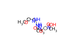 COc1cccc(-c2c[nH]c(CCNC(=O)[C@H](C)NC(=O)C3CCC(N(C)C(=O)O)CC3)n2)c1